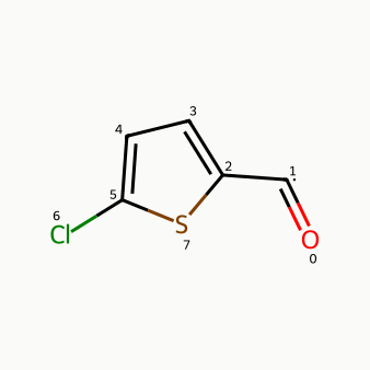 O=[C]c1ccc(Cl)s1